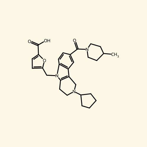 CC1CCN(C(=O)c2ccc3c(c2)c2c(n3Cc3ccc(C(=O)O)o3)CCN(C3CCCC3)C2)CC1